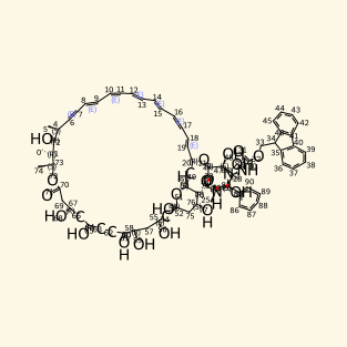 C[C@@H]1[C@H](O)[C@@H](C)/C=C/C=C/C=C/C=C/C=C/C=C/C=C/[C@H](O[C@@H]2O[C@H](C)[C@@H](O)[C@H](NC(=O)OCC3c4ccccc4-c4ccccc43)[C@@H]2O)C[C@@H]2O[C@](O)(C[C@@H](O)C[C@@H](O)[C@H](O)CC[C@@H](O)C[C@@H](O)CC(=O)O[C@H]1C)C[C@H](O)[C@H]2C(=O)NC(=NO)c1ccccc1